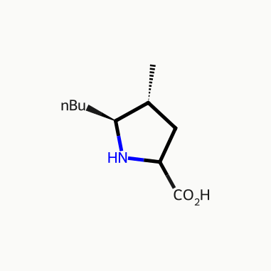 CCCC[C@@H]1NC(C(=O)O)C[C@H]1C